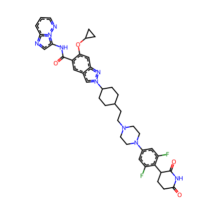 O=C1CCC(c2c(F)cc(N3CCN(CCC4CCC(n5cc6cc(C(=O)Nc7cnc8cccnn78)c(OC7CC7)cc6n5)CC4)CC3)cc2F)C(=O)N1